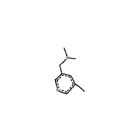 Cc1cncc(CN(C)C)c1